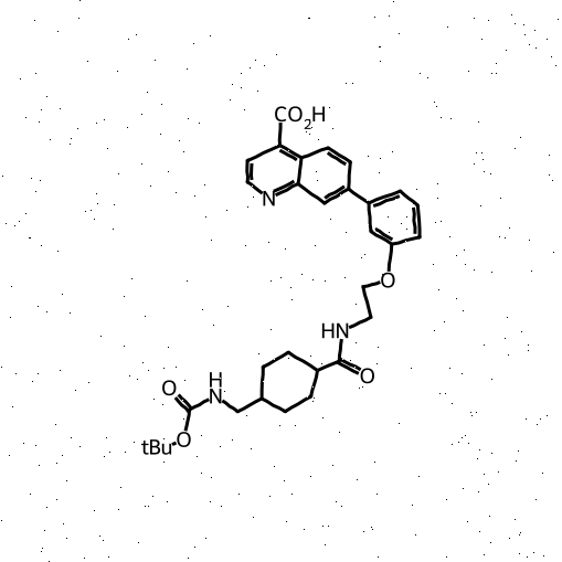 CC(C)(C)OC(=O)NCC1CCC(C(=O)NCCOc2cccc(-c3ccc4c(C(=O)O)ccnc4c3)c2)CC1